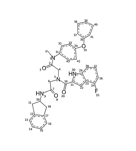 CN(C(=O)CN(CC(=O)NC1Cc2ccccc2C1)C(=O)c1cc2c(F)cccc2[nH]1)c1ccc(Oc2ccccc2)cc1